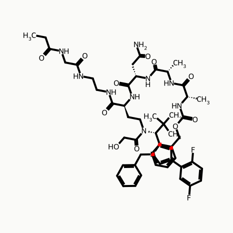 CCC(=O)NCC(=O)NCCNC(=O)[C@H](CCN(C(=O)CO)[C@@H](c1cc(-c2cc(F)ccc2F)cn1Cc1ccccc1)C(C)(C)C)NC(=O)[C@H](CC(N)=O)NC(=O)[C@H](C)NC(=O)[C@H](C)NC(=O)OCc1ccccc1